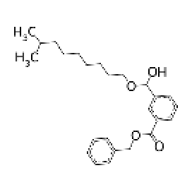 CC(C)CCCCCCCOC(O)c1cccc(C(=O)OCc2ccccc2)c1